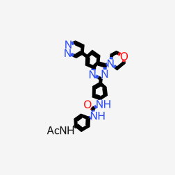 CC(=O)Nc1ccc(NC(=O)Nc2ccc(-c3nc(N4CCOCC4)c4ccc(-c5ccnnc5)cc4n3)cc2)cc1